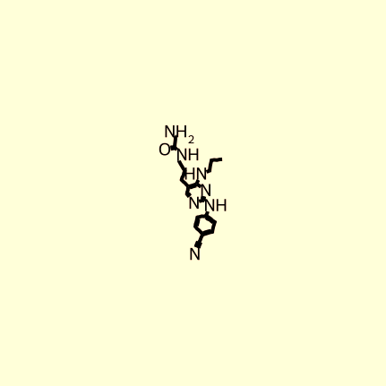 CCCNc1nc(Nc2ccc(C#N)cc2)ncc1CCCNC(=O)CN